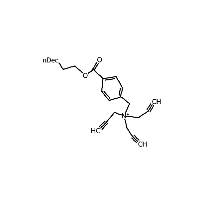 C#CC[N+](CC#C)(CC#C)Cc1ccc(C(=O)OCCCCCCCCCCCC)cc1